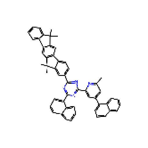 Cc1cc(-c2cccc3ccccc23)cc(-c2nc(-c3ccc4c(c3)C(C)(C)c3cc5c(cc3-4)C(C)(C)c3ccccc3-5)nc(-c3cccc4ccccc34)n2)n1